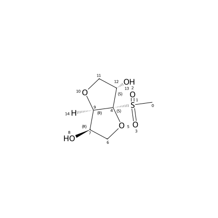 CS(=O)(=O)[C@]12OC[C@@H](O)[C@H]1OC[C@@H]2O